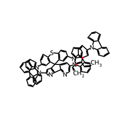 C=Cc1c(/C=C\C)c2cc(-n3c4ccccc4c4ccccc43)ccc2n1-c1ccc2c(c1)C1(c3cc(-n4c5ccccc5c5ccccc54)ccc3S2)c2cc(-n3c4ccccc4c4ccccc43)cnc2-c2ncc(-n3c4ccccc4c4ccccc43)cc21